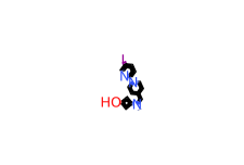 CN(CC1CCN(c2ccc(I)cn2)CC1)C1CC(O)C1